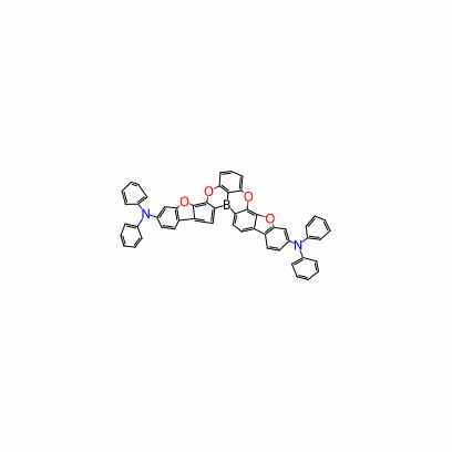 c1ccc(N(c2ccccc2)c2ccc3c(c2)oc2c4c(ccc23)B2c3ccc5c(oc6cc(N(c7ccccc7)c7ccccc7)ccc65)c3Oc3cccc(c32)O4)cc1